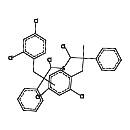 CC(Cc1ccc(Cl)cc1Cl)(c1ccccc1)C(Cl)SC(Cl)C(C)(Cc1ccc(Cl)cc1Cl)c1ccccc1